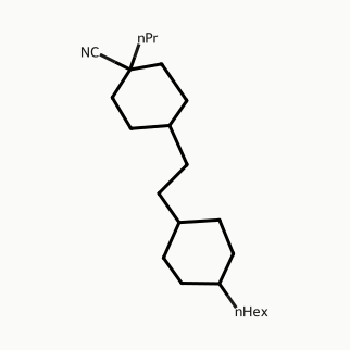 CCCCCCC1CCC(CCC2CCC(C#N)(CCC)CC2)CC1